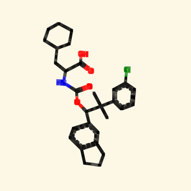 CC(C)(c1cccc(Cl)c1)C(OC(=O)NC(CC1CCCCC1)C(=O)O)c1ccc2c(c1)CCC2